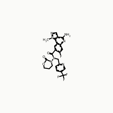 Cn1ncc2c(N)nc3cc(F)c(C(=O)N(Cc4ccc(C(F)(F)F)cn4)N4CCCOC4=O)cc3c21